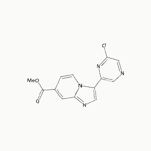 COC(=O)c1ccn2c(-c3cncc(Cl)n3)cnc2c1